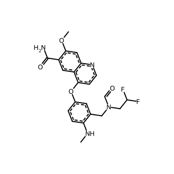 CNc1ccc(Oc2ccnc3cc(OC)c(C(N)=O)cc23)cc1CN(C=O)CC(F)F